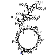 C/C=C\C[C@@H](C)[C@@H](O)C1C(=O)N[C@@H](CC)C(=O)N(C)CC(=O)N(C)[C@@H](CC(C)C)C(=O)N[C@@H](C(C)C)C(=O)N(C)[C@@H](CC(C)C)C(=O)N[C@@H](C)C(=O)N[C@H](COCC(=O)NC(CCC(=O)O)C(=O)NC(CCC(=O)O)C(=O)NC(CCC(=O)O)C(=O)NC(CCC(=O)O)C(=O)NC(CCC(=O)O)C(=O)NC(CCC(=O)O)C(=O)NCC(=O)O)C(=O)N(C)[C@@H](CC(C)C)C(=O)N(C)[C@@H](CC(C)C)C(=O)N(C)[C@@H](C(C)C)C(=O)N1C